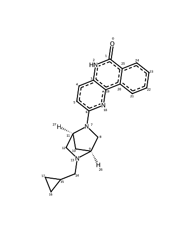 O=c1[nH]c2ccc(N3C[C@@H]4C[C@H]3CN4CC3CC3)nc2c2ccccc12